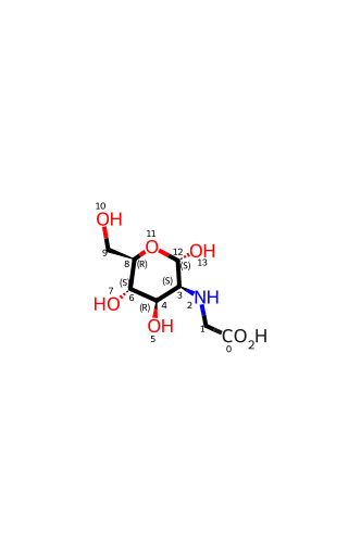 O=C(O)CN[C@H]1[C@@H](O)[C@H](O)[C@@H](CO)O[C@@H]1O